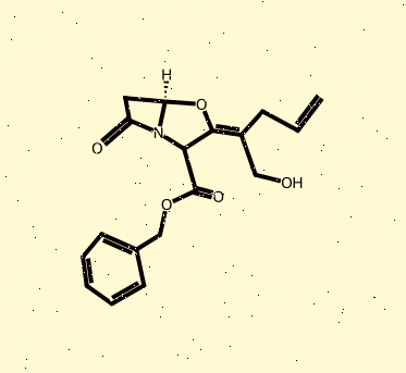 C=CC/C(CO)=C1\O[C@@H]2CC(=O)N2C1C(=O)OCc1ccccc1